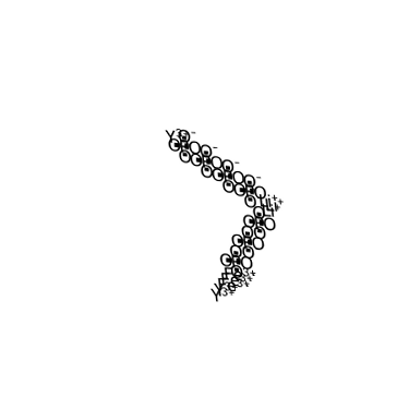 O=P([O-])([O-])[O-].O=P([O-])([O-])[O-].O=P([O-])([O-])[O-].O=P([O-])([O-])[O-].O=P([O-])([O-])[O-].O=P([O-])([O-])[O-].O=P([O-])([O-])[O-].[Fe+3].[Fe+3].[Fe+3].[Li+].[Li+].[Li+].[Y+3].[Y+3].[Y+3]